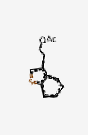 CC(=O)OCCc1csc2ccccc12